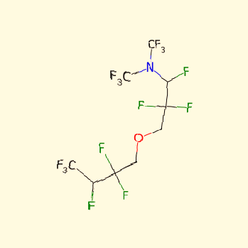 FC(N(C(F)(F)F)C(F)(F)F)C(F)(F)COCC(F)(F)C(F)C(F)(F)F